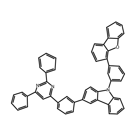 c1ccc(-c2cc(-c3cccc(-c4ccc5c(c4)c4ccccc4n5-c4cccc(-c5cccc6c5oc5ccccc56)c4)c3)nc(-c3ccccc3)n2)cc1